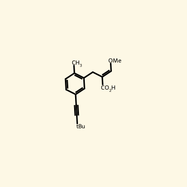 CO/C=C(\Cc1cc(C#CC(C)(C)C)ccc1C)C(=O)O